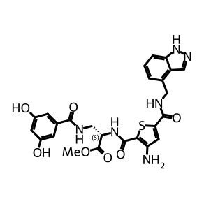 COC(=O)[C@H](CNC(=O)c1cc(O)cc(O)c1)NC(=O)c1sc(C(=O)NCc2cccc3[nH]ncc23)cc1N